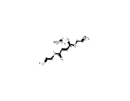 C=C.C=CCOC(=O)/C=C/C(=O)OCC=C